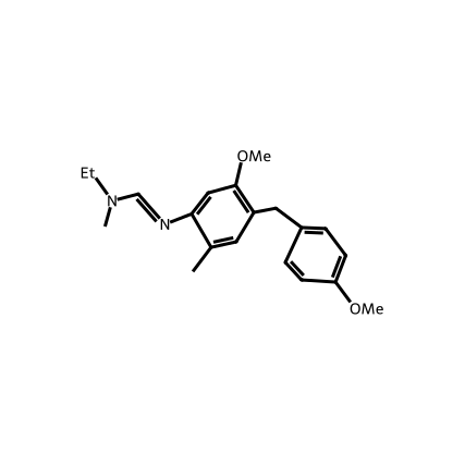 CCN(C)/C=N/c1cc(OC)c(Cc2ccc(OC)cc2)cc1C